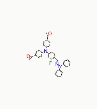 Fc1cc(N(c2ccc(C3CO3)cc2)c2ccc(C3CO3)cc2)ccc1C=NN(c1ccccc1)c1ccccc1